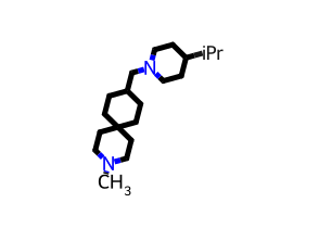 CC(C)C1CCN(CC2CCC3(CC2)CCN(C)CC3)CC1